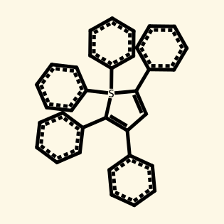 C1=C(c2ccccc2)S(c2ccccc2)(c2ccccc2)C(c2ccccc2)=C1c1ccccc1